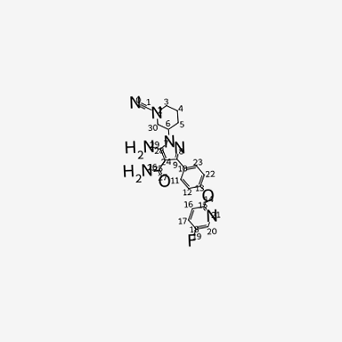 N#CN1CCCC(n2nc(-c3ccc(Oc4ccc(F)cn4)cc3)c(C(N)=O)c2N)C1